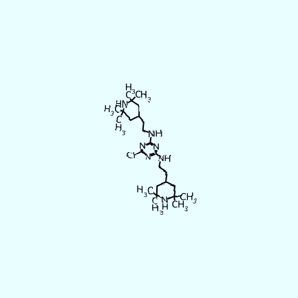 CC1(C)CC(CCNc2nc(Cl)nc(NCCC3CC(C)(C)NC(C)(C)C3)n2)CC(C)(C)N1